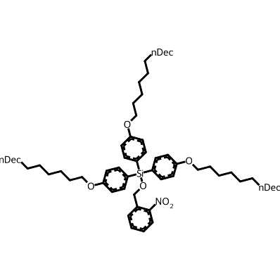 CCCCCCCCCCCCCCCCOc1ccc([Si](OCc2ccccc2[N+](=O)[O-])(c2ccc(OCCCCCCCCCCCCCCCC)cc2)c2ccc(OCCCCCCCCCCCCCCCC)cc2)cc1